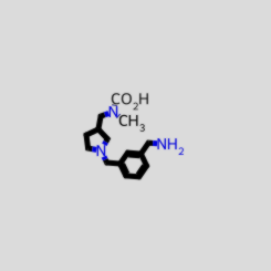 CN(CC1CCN(Cc2cccc(CN)c2)C1)C(=O)O